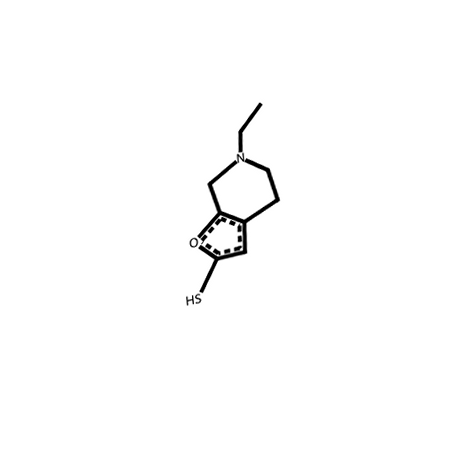 CCN1CCc2cc(S)oc2C1